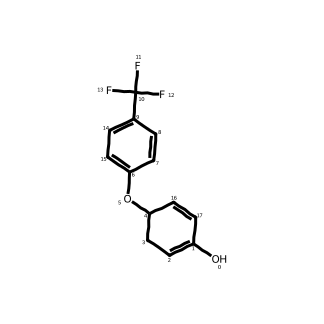 OC1=CCC(Oc2ccc(C(F)(F)F)cc2)C=C1